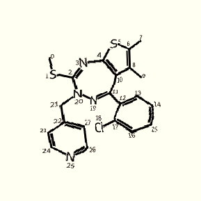 CSC1=Nc2sc(C)c(C)c2C(c2ccccc2Cl)=NN1Cc1ccncc1